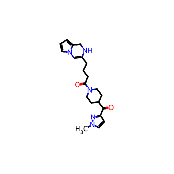 Cn1ccc(C(=O)C2CCN(C(=O)CCCC3=Cn4cccc4CN3)CC2)n1